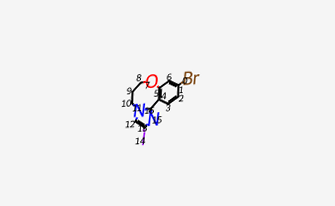 Brc1ccc2c(c1)OCCCn1cc(I)nc1-2